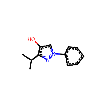 CC(C)c1nn(-c2ccccc2)cc1O